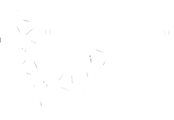 CCCCCCCOc1ccc(C(=O)Oc2ccc(CC(NC(=O)c3ccc(NC(=O)c4c(C)cc(C)cc4C)cc3)C(=O)O)cc2OC)cc1